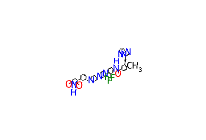 Cc1ccc(C(=O)Nc2ccc(N3CCN(C4CCN(Cc5cccc(C6CCC(=O)NC6=O)c5)CC4)CC3)c(C(F)(F)F)c2)cc1C#Cc1cnc2cccnn12